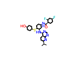 CC(C)c1ccc2c(Nc3cc(NC(=O)c4ccc(F)cc4F)ccc3Sc3ccc(O)cc3)ncnc2n1